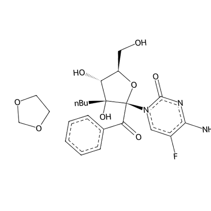 C1COCO1.CCCC[C@@]1(O)[C@H](O)[C@@H](CO)O[C@@]1(C(=O)c1ccccc1)n1cc(F)c(N)nc1=O